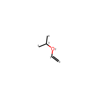 C=COC(C)C